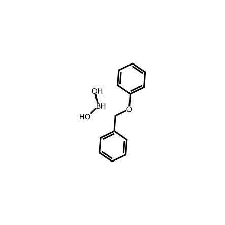 OBO.c1ccc(COc2ccccc2)cc1